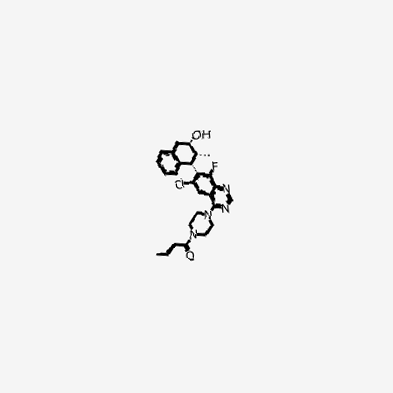 C/C=C/C(=O)N1CCN(c2ncnc3c(F)c([C@@H]4c5ccccc5C[C@H](O)[C@@H]4C)c(Cl)cc23)CC1